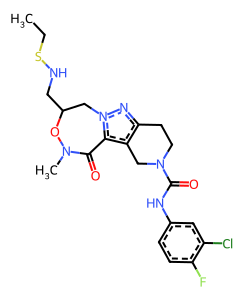 CCSNCC1Cn2nc3c(c2C(=O)N(C)O1)CN(C(=O)Nc1ccc(F)c(Cl)c1)CC3